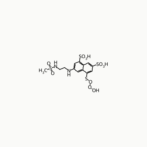 CS(=O)(=O)NCCNc1cc(S(=O)(=O)O)c2cc(S(=O)(=O)O)cc(SOOO)c2c1